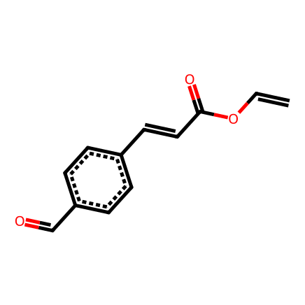 C=COC(=O)C=Cc1ccc(C=O)cc1